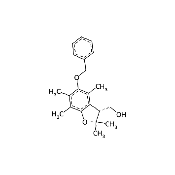 Cc1c(C)c2c(c(C)c1OCc1ccccc1)[C@H](CO)C(C)(C)O2